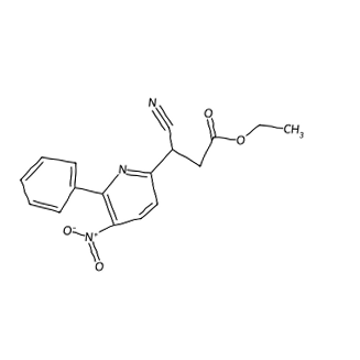 CCOC(=O)CC(C#N)c1ccc([N+](=O)[O-])c(-c2ccccc2)n1